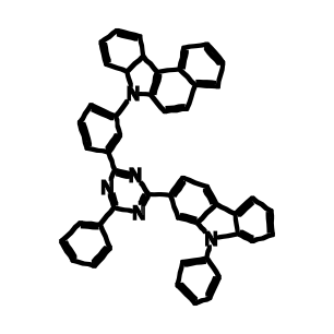 C1=CC2c3c(ccc4ccccc34)N(c3cccc(-c4nc(-c5ccccc5)nc(-c5ccc6c7ccccc7n(-c7ccccc7)c6c5)n4)c3)C2C=C1